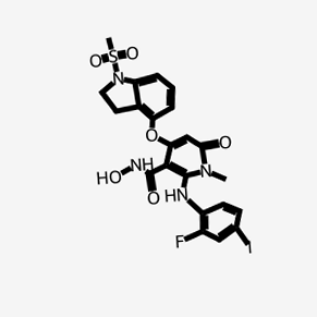 Cn1c(Nc2ccc(I)cc2F)c(C(=O)NO)c(Oc2cccc3c2CCN3S(C)(=O)=O)cc1=O